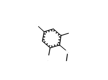 CNc1c(F)cc(F)cc1F